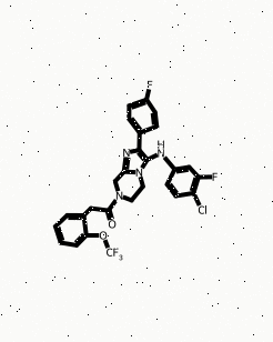 O=C(Cc1ccccc1OC(F)(F)F)N1CCn2c(nc(-c3ccc(F)cc3)c2Nc2ccc(Cl)c(F)c2)C1